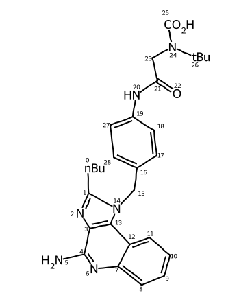 CCCCc1nc2c(N)nc3ccccc3c2n1Cc1ccc(NC(=O)CN(C(=O)O)C(C)(C)C)cc1